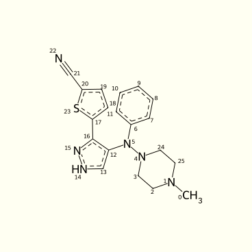 CN1CCN(N(c2ccccc2)c2c[nH]nc2-c2ccc(C#N)s2)CC1